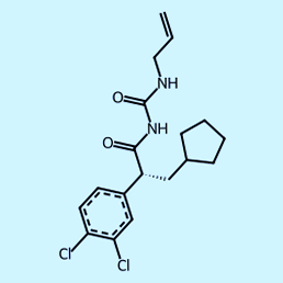 C=CCNC(=O)NC(=O)[C@H](CC1CCCC1)c1ccc(Cl)c(Cl)c1